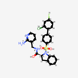 Nc1ncccc1CNC(=O)[C@@H]1Cc2ccccc2N1S(=O)(=O)c1ccc(-c2ccc(F)cc2Cl)cc1